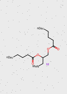 CCCCCCCCCCCCCC(=O)OCC(CNC)OC(=O)CCCCCCCCCCCCC.I